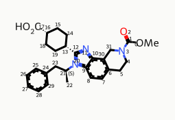 COC(=O)N1CCc2ccc3c(nc([C@H]4CC[C@@H](C(=O)O)CC4)n3[C@@H](C)Cc3ccccc3)c2C1